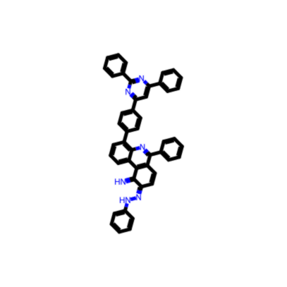 N=C1/C(=N\Nc2ccccc2)C=Cc2c(-c3ccccc3)nc3c(-c4ccc(-c5cc(-c6ccccc6)nc(-c6ccccc6)n5)cc4)cccc3c21